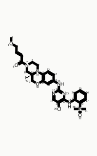 COC/C=C/C(=O)N1CCN2c3ccc(Nc4ncc(Cl)c(Nc5ccccc5P(C)(C)=O)n4)cc3OC[C@H]2C1